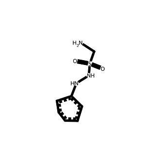 NCS(=O)(=O)NNc1ccccc1